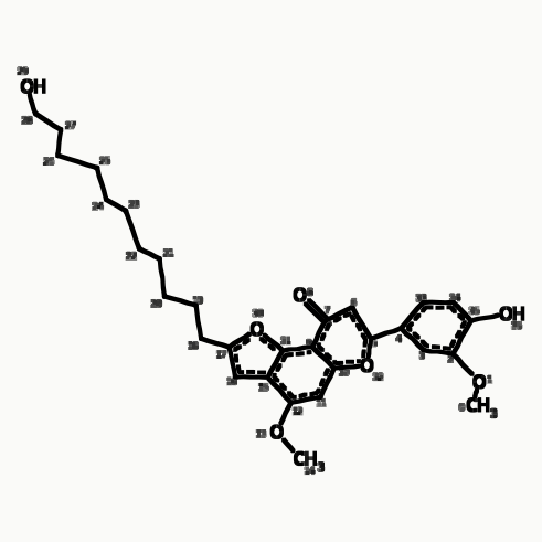 COc1cc(-c2cc(=O)c3c(cc(OC)c4cc(CCCCCCCCCCCO)oc43)o2)ccc1O